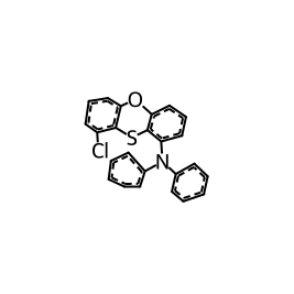 Clc1cccc2c1Sc1c(cccc1N(c1ccccc1)c1ccccc1)O2